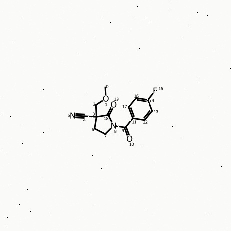 COCC1(C#N)CCN(C(=O)c2ccc(F)cc2)C1=O